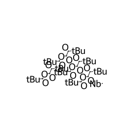 CC(C)(C)C(=O)OC(=O)C(=O)C(C)(C)C.CC(C)(C)C(=O)OC(=O)C(=O)C(C)(C)C.CC(C)(C)C(=O)OC(=O)C(=O)C(C)(C)C.CC(C)(C)C(=O)OC(=O)C(=O)C(C)(C)C.[Nb]